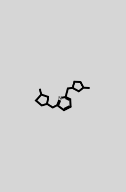 CC1CCC(Cc2cccc(CC3CCC(C)C3)n2)C1